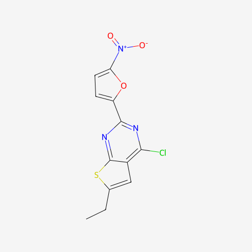 CCc1cc2c(Cl)nc(-c3ccc([N+](=O)[O-])o3)nc2s1